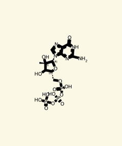 C[C@]1(O)C(O)[C@@H](COP(=O)(O)OP(=O)(O)OP(=O)(O)O)O[C@H]1n1cnc2c(=O)[nH]c(N)nc21